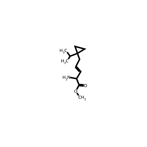 COC(=O)C(N)C=CCC1(C(C)C)CC1